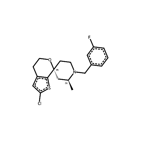 C[C@H]1C[C@@]2(CCN1Cc1cccc(F)c1)OCCc1cc(Cl)sc12